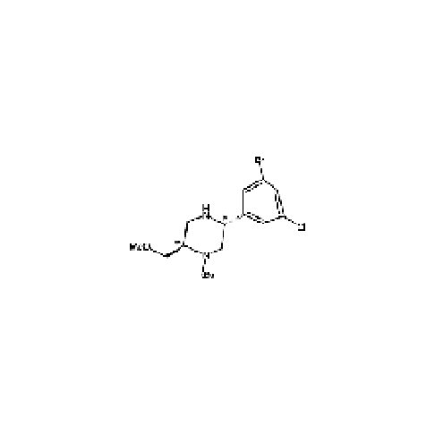 COC[C@H]1CN[C@H](c2cc(Cl)cc(Br)c2)CN1C(C)(C)C